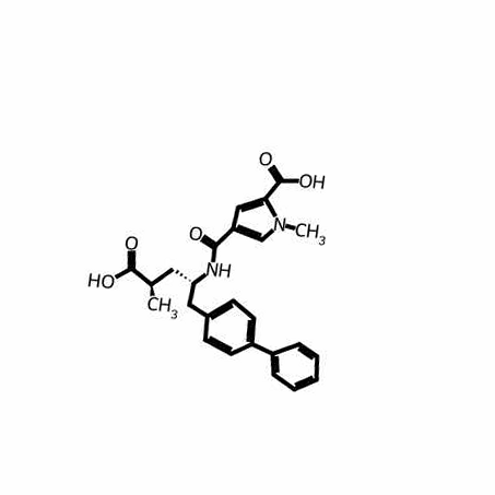 C[C@H](C[C@@H](Cc1ccc(-c2ccccc2)cc1)NC(=O)c1cc(C(=O)O)n(C)c1)C(=O)O